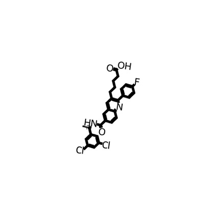 C[C@@H](NC(=O)c1ccc2nc(-c3ccc(F)cc3)c(CCCCC(=O)O)cc2c1)c1cc(Cl)cc(Cl)c1